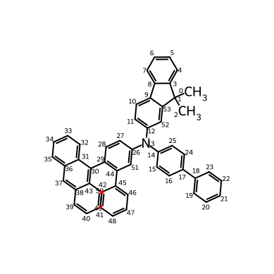 CC1(C)c2ccccc2-c2ccc(N(c3ccc(-c4ccccc4)cc3)c3ccc(-c4c5ccccc5cc5ccccc45)c(-c4ccccc4)c3)cc21